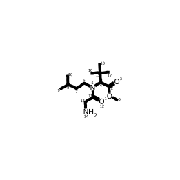 COC(=O)C(N(CCC(C)C)C(=O)CN)C(C)(C)C